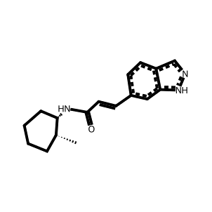 C[C@@H]1CCCC[C@@H]1NC(=O)/C=C/c1ccc2cn[nH]c2c1